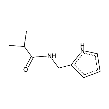 CC(C)C(=O)NCc1ccc[nH]1